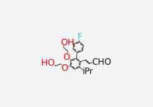 CC(C)c1cc(OCCO)c(OCCO)c(-c2ccc(F)cc2)c1/C=C/C=O